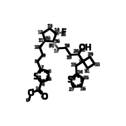 COC(=O)c1ccc(CCC[C@H]2CC[C@H](F)[C@@H]2CCCC(O)C2(Cc3cccs3)CCC2)s1